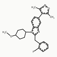 COC1CCC(n2c(Cc3ccccc3F)nc3cc(-c4c(C)noc4C)ccc32)CC1